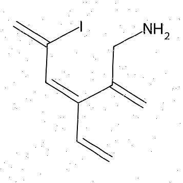 C=C/C(=C/C(=C)I)C(=C)CN